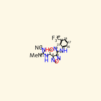 CNC(=NC#N)NCc1nonc1C(=NO)Nc1cccc(C(F)(F)F)c1